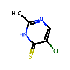 Cc1ncc(Cl)c(=S)[nH]1